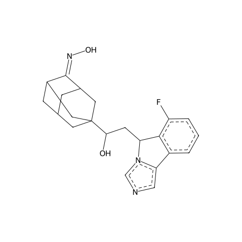 ON=C1C2CC3CC1CC(C(O)CC1c4c(F)cccc4-c4cncn41)(C3)C2